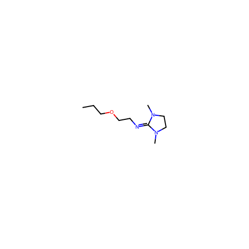 CCCOCCN=C1N(C)CCN1C